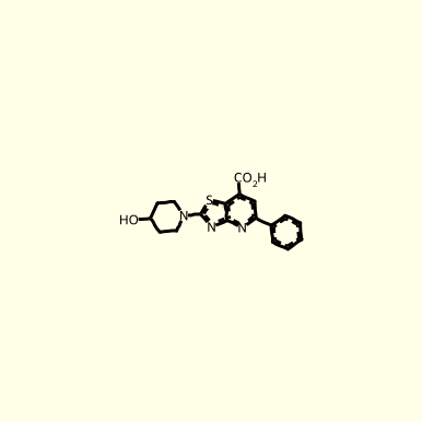 O=C(O)c1cc(-c2ccccc2)nc2nc(N3CCC(O)CC3)sc12